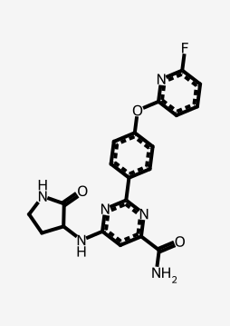 NC(=O)c1cc(NC2CCNC2=O)nc(-c2ccc(Oc3cccc(F)n3)cc2)n1